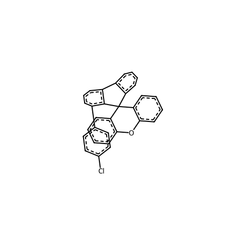 Clc1ccc(-c2cccc3c2C2(c4ccccc4Oc4ccccc42)c2ccccc2-3)cc1